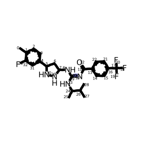 Cc1ccc(C2CC(N/C(=N\C(=O)c3ccc(C(F)(F)F)cc3)NC(C)C(C)C)NN2)cc1F